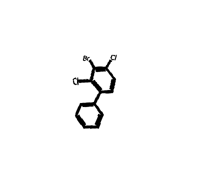 Clc1ccc(-c2ccccc2)c(Cl)c1Br